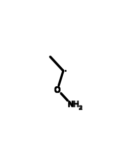 C[CH]ON